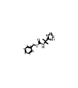 CC(C)(NC(=O)OCc1ccccc1)c1nnn[nH]1